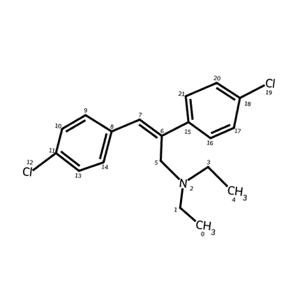 CCN(CC)CC(=Cc1ccc(Cl)cc1)c1ccc(Cl)cc1